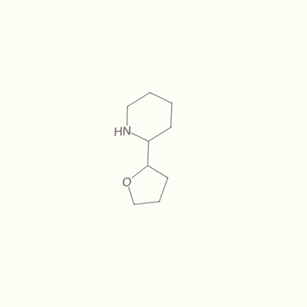 C1CCC(C2CCCO2)NC1